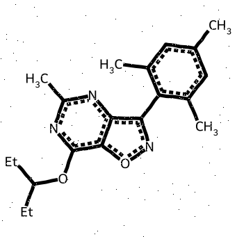 CCC(CC)Oc1nc(C)nc2c(-c3c(C)cc(C)cc3C)noc12